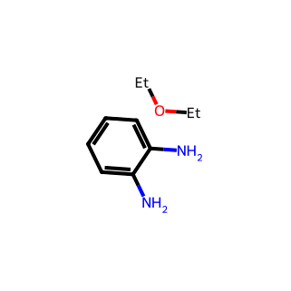 CCOCC.Nc1ccccc1N